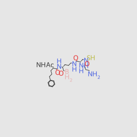 BC(=O)[C@H](CCCNC(=O)[C@@H](CNS)NC(=O)CCN)NC(=O)[C@H](CCCc1ccccc1)NC(C)=O